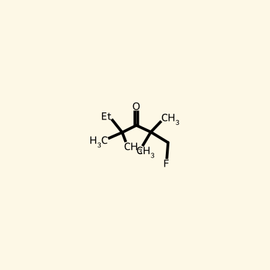 CCC(C)(C)C(=O)C(C)(C)CF